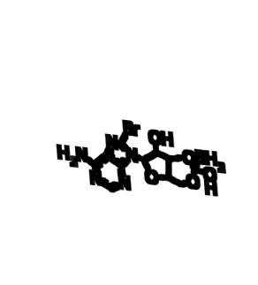 BC1(O)OCC2O[C@@H](n3c(Br)nc4c(N)ncnc43)[C@@H](O)C2O1